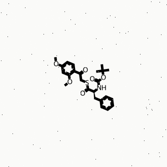 COc1ccc(C(=O)CSC(=O)[C@H](Cc2ccccc2)NC(=O)OC(C)(C)C)c(OC)c1